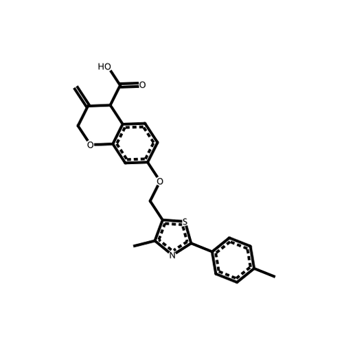 C=C1COc2cc(OCc3sc(-c4ccc(C)cc4)nc3C)ccc2C1C(=O)O